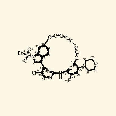 CCS(=O)(=O)n1cc2c3ccc(cc31)OCCCCCCOc1cc(c(F)cc1N1CCOCC1)Nc1ncc(Cl)c-2n1